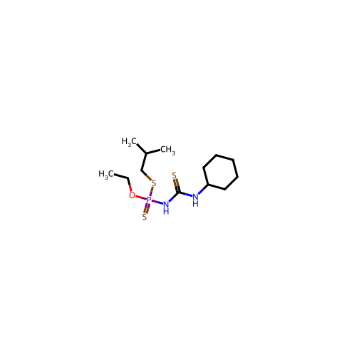 CCOP(=S)(NC(=S)NC1CCCCC1)SCC(C)C